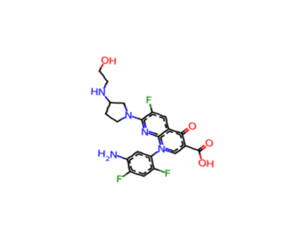 Nc1cc(-n2cc(C(=O)O)c(=O)c3cc(F)c(N4CCC(NCCO)C4)nc32)c(F)cc1F